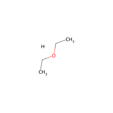 CCOCC.[H]